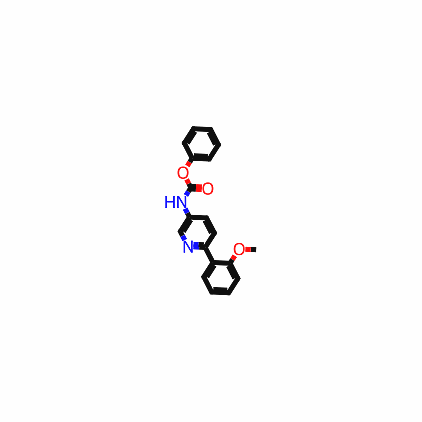 COc1ccccc1-c1ccc(NC(=O)Oc2ccccc2)cn1